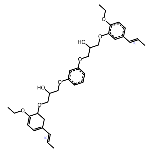 C/C=C/C1=CC=C(OCC)C(OCC(O)COc2cccc(OCC(O)COc3cc(/C=C/C)ccc3OCC)c2)C1